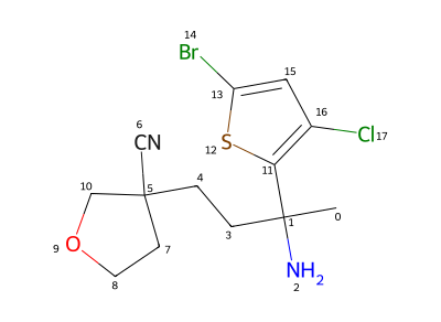 CC(N)(CCC1(C#N)CCOC1)c1sc(Br)cc1Cl